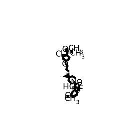 COc1cccc([C@@](O)(C(=O)N2CCC3(CC2)C[C@@H]3CCCOc2ccc(C(=O)N(C)C)c(Cl)c2)C(F)(F)F)c1